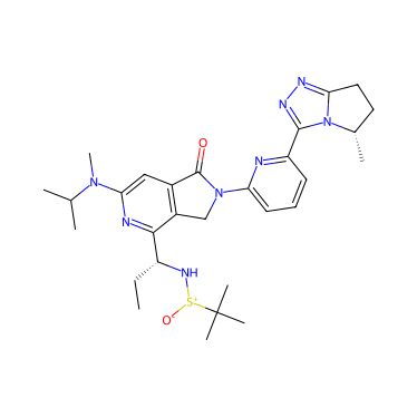 CC[C@@H](N[S+]([O-])C(C)(C)C)c1nc(N(C)C(C)C)cc2c1CN(c1cccc(-c3nnc4n3[C@@H](C)CC4)n1)C2=O